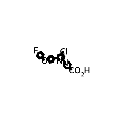 O=C(O)C1CCN(c2cc(Cl)cc(-c3ccc(Oc4ccc(F)cc4)cc3)n2)CC1